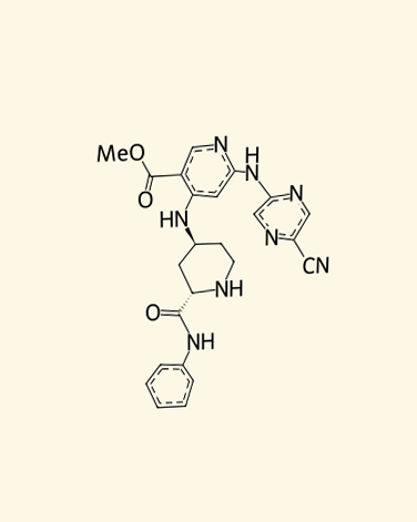 COC(=O)c1cnc(Nc2cnc(C#N)cn2)cc1N[C@H]1CCN[C@H](C(=O)Nc2ccccc2)C1